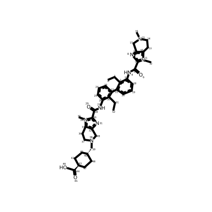 CCc1c(NC(=O)c2nc3c(n2C)CCN(C)C3)cccc1-c1cccc(NC(=O)c2nc3c(n2C)CCN(C[C@H]2CC[C@H](C(=O)O)CC2)C3)c1CC